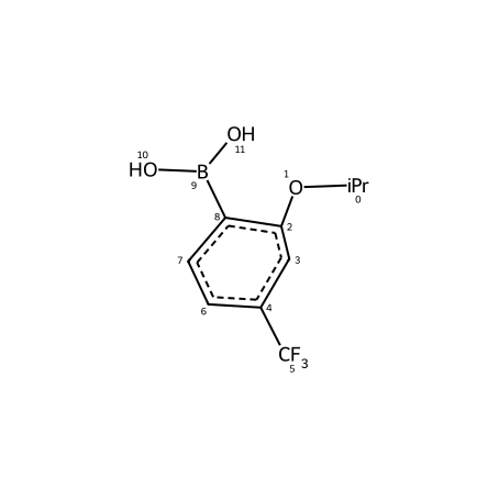 CC(C)Oc1cc(C(F)(F)F)ccc1B(O)O